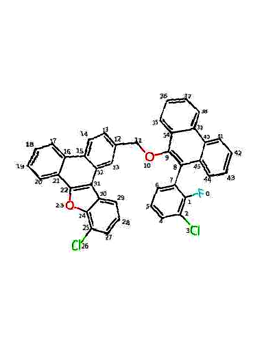 Fc1c(Cl)cccc1-c1c(OCc2ccc3c4ccccc4c4oc5c(Cl)cccc5c4c3c2)c2ccccc2c2ccccc12